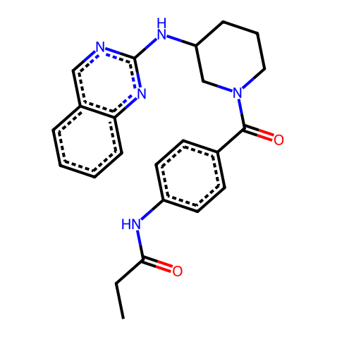 CCC(=O)Nc1ccc(C(=O)N2CCCC(Nc3ncc4ccccc4n3)C2)cc1